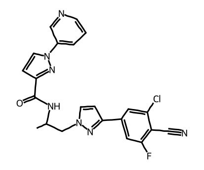 CC(Cn1ccc(-c2cc(F)c(C#N)c(Cl)c2)n1)NC(=O)c1ccn(-c2cccnc2)n1